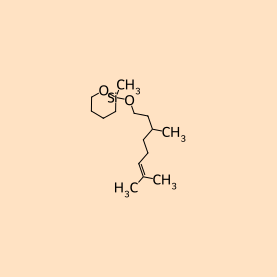 CC(C)=CCCC(C)CCO[Si]1(C)CCCCO1